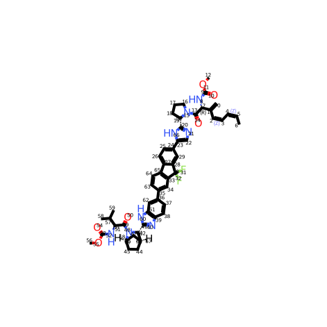 C=C(/C=C\C=C/C)[C@@H](NC(=O)OC)C(=O)N1CCC[C@H]1c1ncc(-c2ccc3c(c2)C(F)(F)c2cc(-c4ccc5nc([C@@H]6[C@H]7CC[C@H](C7)N6C(=O)[C@@H](NC(=O)OC)C(C)C)[nH]c5c4)ccc2-3)[nH]1